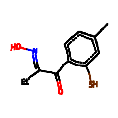 CCC(=NO)C(=O)c1ccc(C)cc1S